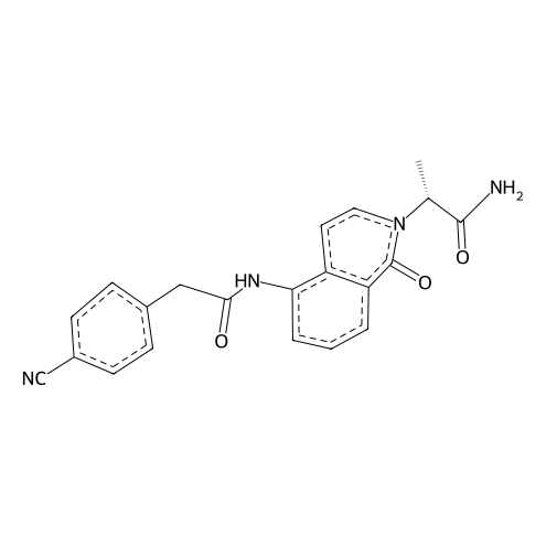 C[C@H](C(N)=O)n1ccc2c(NC(=O)Cc3ccc(C#N)cc3)cccc2c1=O